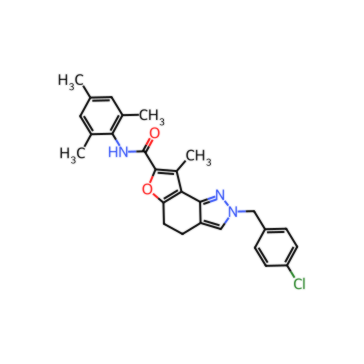 Cc1cc(C)c(NC(=O)c2oc3c(c2C)-c2nn(Cc4ccc(Cl)cc4)cc2CC3)c(C)c1